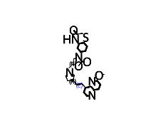 COc1ccc2nccc(/C=C/[C@H]3CCN(C[C@@H]4CN(c5ccc6c(c5)NC(=O)CS6)C(=O)O4)C3)c2n1